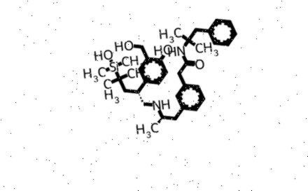 C[C@H](Cc1cccc(CC(=O)NC(C)(C)Cc2ccccc2)c1)NC[C@H](CC(C)(C)[Si](C)(C)O)c1ccc(O)c(CO)c1